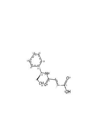 O=C(O)/C=C/C(=O)N[C@@H](CO)c1ccccc1